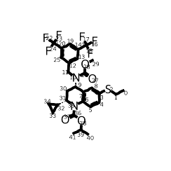 CCSc1ccc2c(c1)[C@@H](N(Cc1cc(C(F)(F)F)cc(C(F)(F)F)c1)C(=O)OC)C[C@@H](C1CC1)N2C(=O)OC(C)C